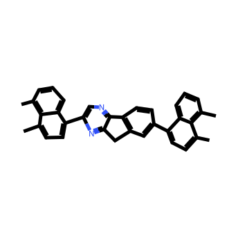 Cc1cccc2c(-c3ccc4c(c3)Cc3nc(-c5ccc(C)c6c(C)cccc56)cnc3-4)ccc(C)c12